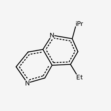 CCc1cc(C(C)C)nc2ccncc12